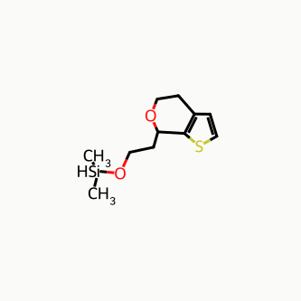 C[SiH](C)OCCC1OCCc2ccsc21